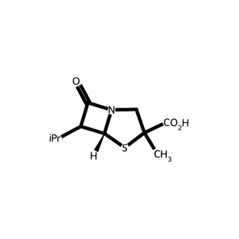 CC(C)C1C(=O)N2CC(C)(C(=O)O)S[C@H]12